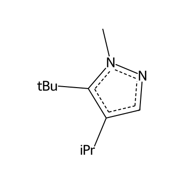 CC(C)c1cnn(C)c1C(C)(C)C